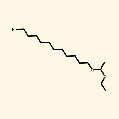 CCOC(C)OCCCCCCCCCCCBr